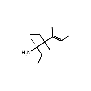 C/C=C(\C)C(C)(CC)[C@](C)(N)CC